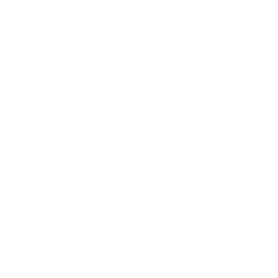 CC(C)(Oc1ccc(Cl)cc1)C(=O)OCc1cccc(CO)n1